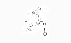 CC(C)[Si](O[C@H]1C[C@H](N)C[C@@H]1CO[Si](C)(C)C(C)(C)C)(C(C)C)C(C)C.CC(C)[Si](O[C@H]1C[C@H](Nc2ncncc2C(=O)c2ccn(C#Cc3ccccc3)c2)C[C@@H]1CO[Si](C)(C)C(C)(C)C)(C(C)C)C(C)C